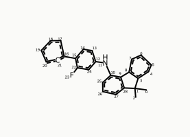 CC1(C)c2ccccc2-c2c(Nc3ccc(-c4ccccc4)c(F)c3)cccc21